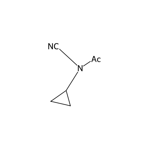 CC(=O)N(C#N)C1CC1